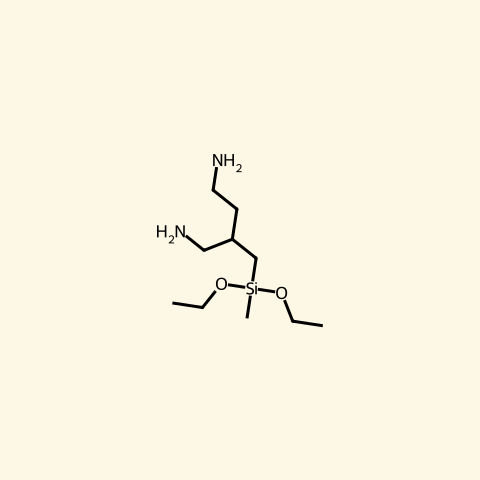 CCO[Si](C)(CC(CN)CCN)OCC